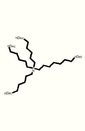 CCCCCCCCCCCCCCCCC[PH](CCCCCCCCCCCCCCC)(CCCCCCCCCCCCCCC)CCCCCCCCCCCCCCC